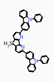 c1ccc(-n2c3ccccc3c3cc(-c4ccc5c(n4)-c4nc(-c6ccc7c(c6)c6ccccc6n7-c6ccccc6)ccc4[SiH2]5)ccc32)cc1